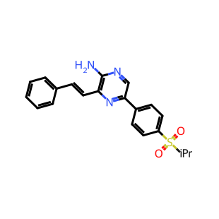 CC(C)S(=O)(=O)c1ccc(-c2cnc(N)c(/C=C/c3ccccc3)n2)cc1